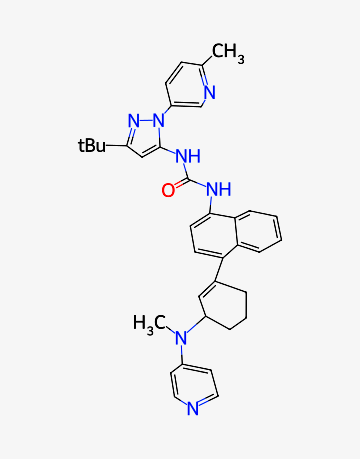 Cc1ccc(-n2nc(C(C)(C)C)cc2NC(=O)Nc2ccc(C3=CC(N(C)c4ccncc4)CCC3)c3ccccc23)cn1